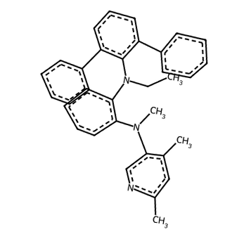 CCN(c1ccccc1N(C)c1cnc(C)cc1C)c1c(-c2ccccc2)cccc1-c1ccccc1